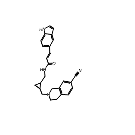 N#Cc1ccc2c(c1)CN(CC1CC1CNC(=O)C=Cc1ccc3[nH]ccc3c1)CC2